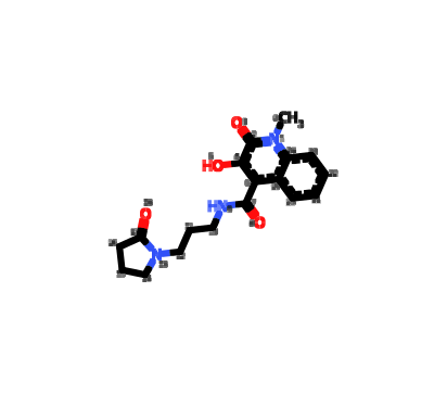 Cn1c(=O)c(O)c(C(=O)NCCCN2CCCC2=O)c2ccccc21